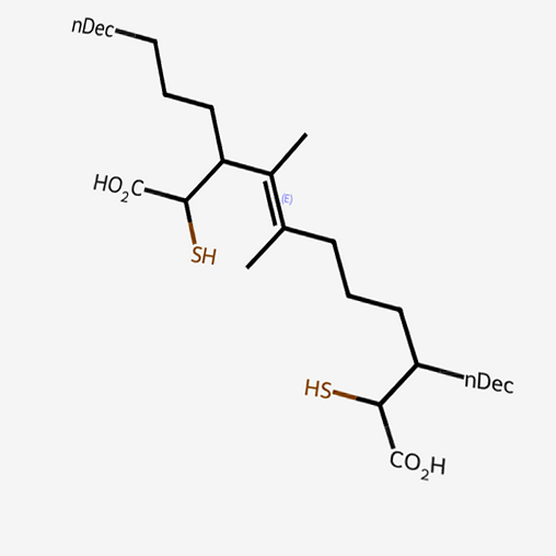 CCCCCCCCCCCCCC(/C(C)=C(\C)CCCC(CCCCCCCCCC)C(S)C(=O)O)C(S)C(=O)O